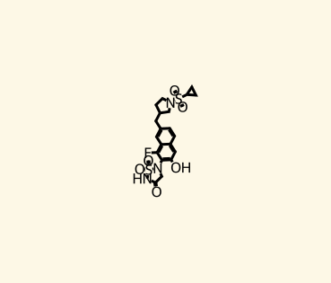 O=C1CN(c2c(O)cc3ccc(CC4CCN(S(=O)(=O)C5CC5)C4)cc3c2F)S(=O)(=O)N1